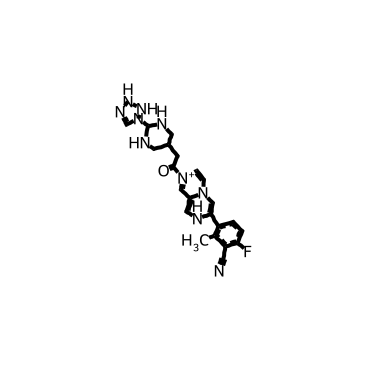 Cc1c(C2=CN3C=C[N+](C(=O)CC4CNC(N5C=NNN5)NC4)=CC3=CN2)ccc(F)c1C#N